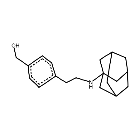 OCc1ccc(CCNC23CC4CC(CC(C4)C2)C3)cc1